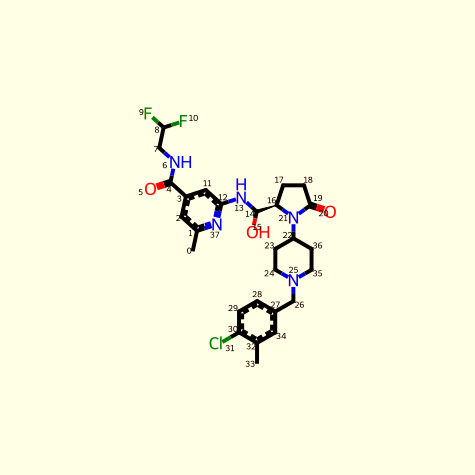 Cc1cc(C(=O)NCC(F)F)cc(NC(O)[C@H]2CCC(=O)N2C2CCN(Cc3ccc(Cl)c(C)c3)CC2)n1